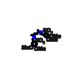 COc1cc(C=NC(C)CCC(C)N=Cc2cc(OC)c(OC)cc2[N+](=O)[O-])c([N+](=O)[O-])cc1OC